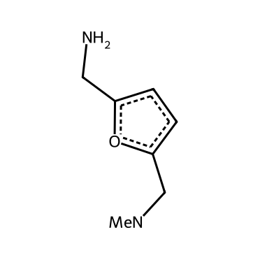 CNCc1ccc(CN)o1